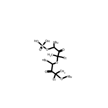 CCCCOC(C)(CC)C(=O)C(CCCC)OC(C)(CC)C(=O)C(CCCC)OP(=O)(O)O